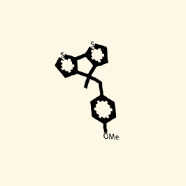 COc1ccc(CC2(C)c3ccsc3-c3sccc32)cc1